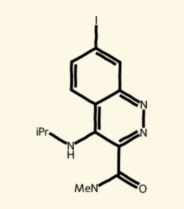 CNC(=O)c1nnc2cc(I)ccc2c1NC(C)C